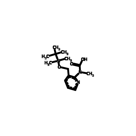 CN(C(=O)O)c1ncccc1CO[Si](C)(C)C(C)(C)C